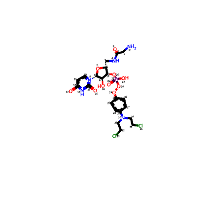 NCC(=O)NC[C@H]1O[C@@H](n2ccc(=O)[nH]c2=O)[C@H](O)[C@@H]1OP(=O)(O)OOc1ccc(N(CCCl)CCCl)cc1